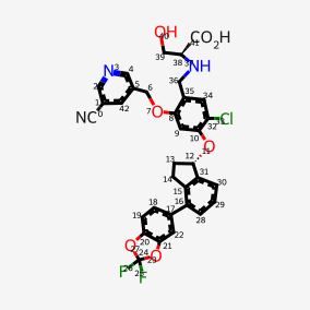 N#Cc1cncc(COc2cc(O[C@H]3CCc4c(-c5ccc6c(c5)OC(F)(F)O6)cccc43)c(Cl)cc2CN[C@@H](CO)C(=O)O)c1